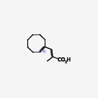 CC(=C/C1=C/CCCCCC1)C(=O)O